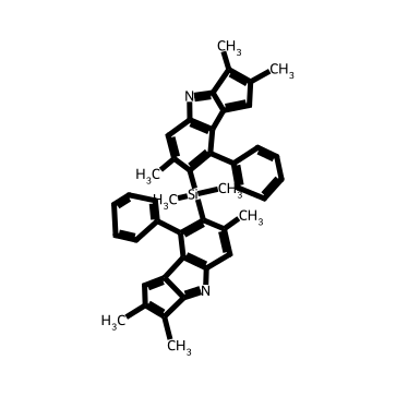 CC1=C(C)C2=Nc3cc(C)c([Si](C)(C)c4c(C)cc5c(c4-c4ccccc4)C4=CC(C)=C(C)C4=N5)c(-c4ccccc4)c3C2=C1